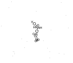 CC(C)(C)c1ccc(C(=O)NC(=N)c2ccc(N3CC(COS(C)(=O)=O)OC3=O)cc2)cc1